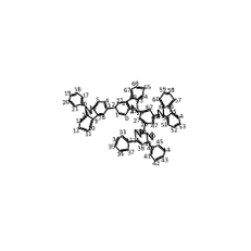 C1=CC(c2ccc3c(c2)c2ccccc2n3-c2ccccc2)Cc2c1n(-c1cc(-c3nc(-c4ccccc4)cc(-c4ccccc4)n3)cc(-n3c4ccccc4c4ccccc43)c1)c1ccccc21